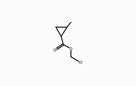 CC1CC1C(=O)OCCl